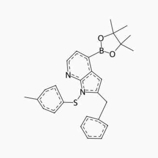 Cc1ccc(Sn2c(Cc3ccccc3)cc3c(B4OC(C)(C)C(C)(C)O4)ccnc32)cc1